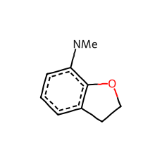 CNc1cccc2c1OCC2